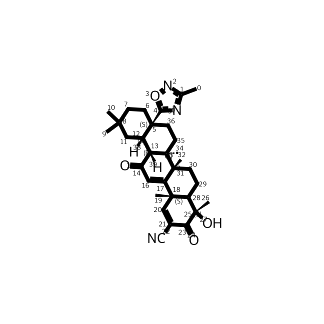 Cc1noc([C@]23CCC(C)(C)C[C@H]2[C@H]2C(=O)C=C4[C@@]5(C)C=C(C#N)C(=O)[C@@](C)(O)C5CC[C@@]4(C)[C@]2(C)CC3)n1